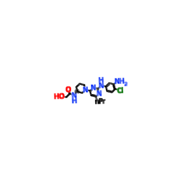 CCCc1cc(N2CCC[C@@H](NC(=O)CO)C2)nc(Nc2ccc(Cl)c(N)c2)n1